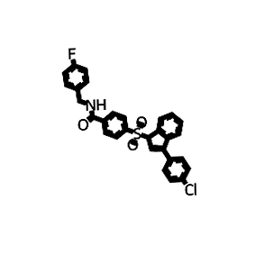 O=C(NCc1ccc(F)cc1)c1ccc(S(=O)(=O)C2C=C(c3ccc(Cl)cc3)c3ccccc32)cc1